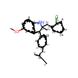 COc1ccc2c(c1)C(c1ccc(CC(C)C)cc1)C(C)(Cc1ccccc1Cl)N2